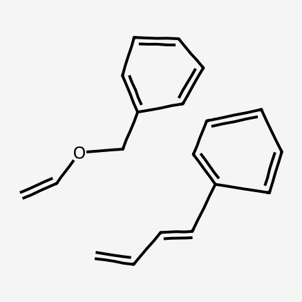 C=CC=Cc1ccccc1.C=COCc1ccccc1